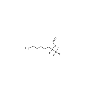 CCCCCCC(F)(OC=O)C(F)(F)F